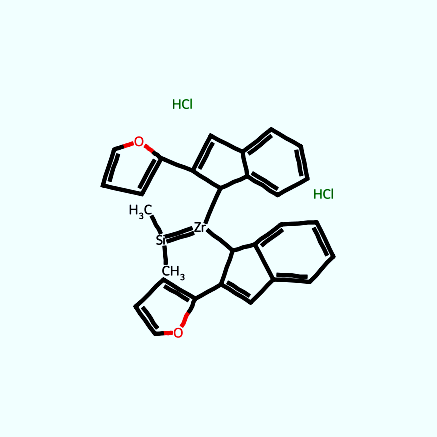 C[Si](C)=[Zr]([CH]1C(c2ccco2)=Cc2ccccc21)[CH]1C(c2ccco2)=Cc2ccccc21.Cl.Cl